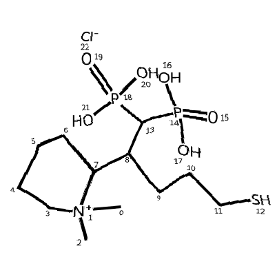 C[N+]1(C)CCCCC1C(CCCS)C(P(=O)(O)O)P(=O)(O)O.[Cl-]